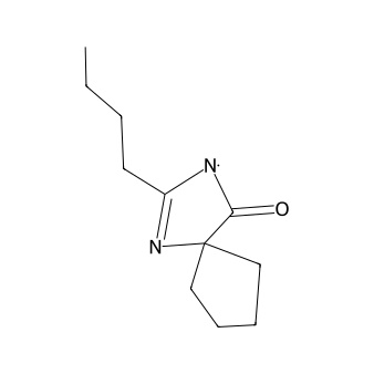 CCCCC1=NC2(CCCC2)C(=O)[N]1